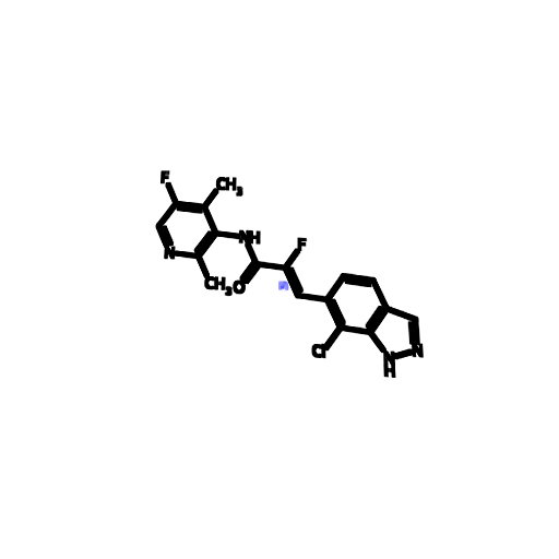 Cc1ncc(F)c(C)c1NC(=O)/C(F)=C/c1ccc2cn[nH]c2c1Cl